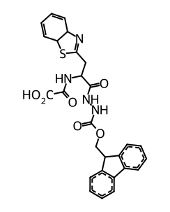 O=C(NNC(=O)C(CC1=NC2C=CC=CC2S1)NC(=O)C(=O)O)OCC1c2ccccc2-c2ccccc21